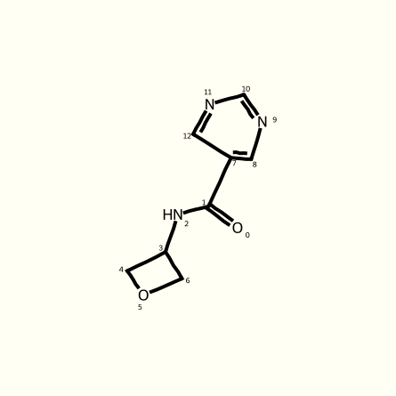 O=C(NC1COC1)c1cncnc1